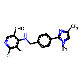 CC(C)n1cc(C(F)(F)F)nc1-c1ccc(CNc2c(C=O)cnc(Cl)c2F)cc1